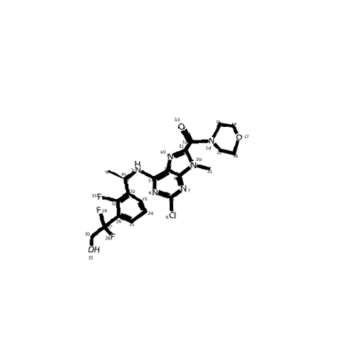 C[C@@H](Nc1nc(Cl)nc2c1nc(C(=O)N1CCOCC1)n2C)c1cccc(C(F)(F)CO)c1F